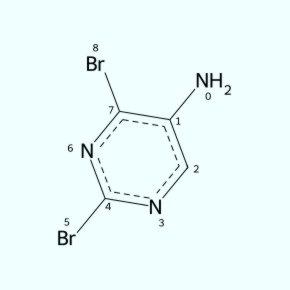 Nc1cnc(Br)nc1Br